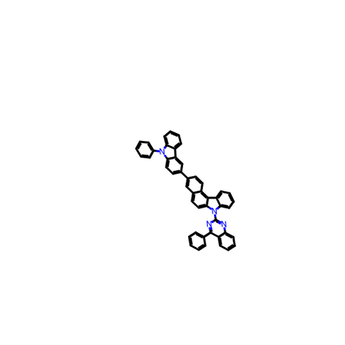 c1ccc(-c2nc(-n3c4ccccc4c4c5ccc(-c6ccc7c(c6)c6ccccc6n7-c6ccccc6)cc5ccc43)nc3ccccc23)cc1